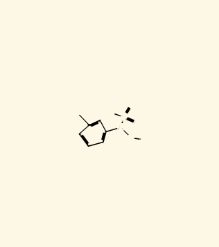 O=S(=O)(F)N(SF)c1cccc(F)c1